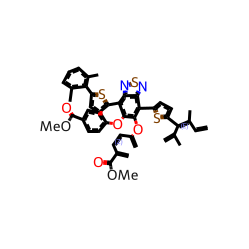 C=C/C(C)=C(\C(=C)C)c1ccc(-c2c(OC(=C)/C=C\C(=C)C(=O)OC)c(Oc3ccc(C(=O)OC)cc3)c(-c3ccc(-c4c(C)cccc4C)s3)c3nsnc23)s1